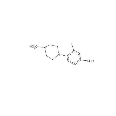 O=Cc1ccc(N2CCN(C(=O)O)CC2)c(I)c1